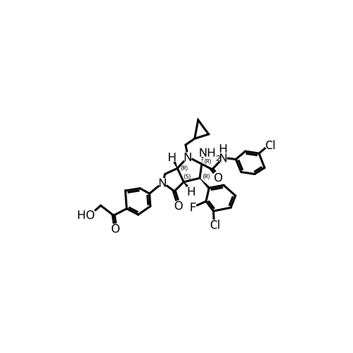 N[C@]1(C(=O)Nc2cccc(Cl)c2)[C@@H](c2cccc(Cl)c2F)[C@@H]2C(=O)N(c3ccc(C(=O)CO)cc3)C[C@@H]2N1CC1CC1